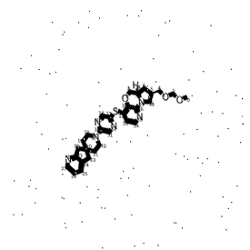 COCOC[C@@H]1C[C@H]2COc3c(Sc4cnc(N5CCC6(CC5)Cc5cccnc5C6)cn4)ccnc3N2C1